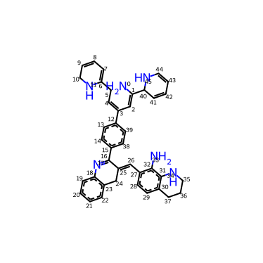 N/C(=C\C(=C/CC1=CC=CCN1)c1ccc(C2=Nc3ccccc3C/C2=C\c2ccc3c(c2N)NCCC3)cc1)C1C=CC=CN1